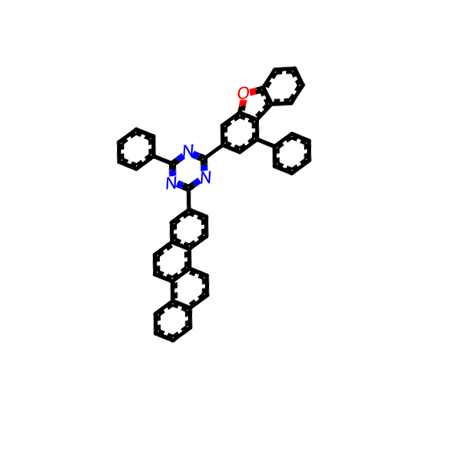 c1ccc(-c2nc(-c3ccc4c(ccc5c6ccccc6ccc45)c3)nc(-c3cc(-c4ccccc4)c4c(c3)oc3ccccc34)n2)cc1